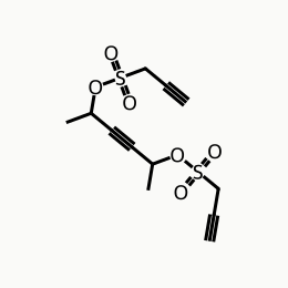 C#CCS(=O)(=O)OC(C)C#CC(C)OS(=O)(=O)CC#C